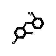 O=[N+]([O-])c1[c]cccc1Oc1ccc(Cl)cc1Cl